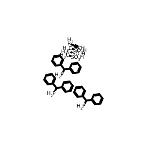 C#CP.CS(=O)(=O)O.CS(=O)(=O)O.CS(=O)(=O)O.PC(c1ccccc1)c1ccccc1.PC(c1ccccc1)c1ccccc1.PC(c1ccccc1)c1ccccc1